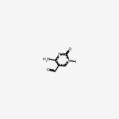 Nc1nc(=O)n(I)cc1C=O